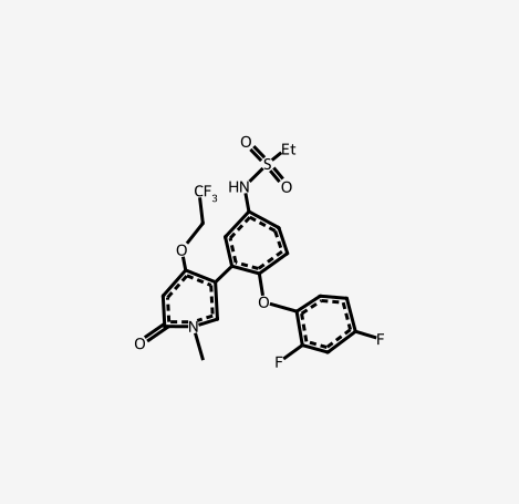 CCS(=O)(=O)Nc1ccc(Oc2ccc(F)cc2F)c(-c2cn(C)c(=O)cc2OCC(F)(F)F)c1